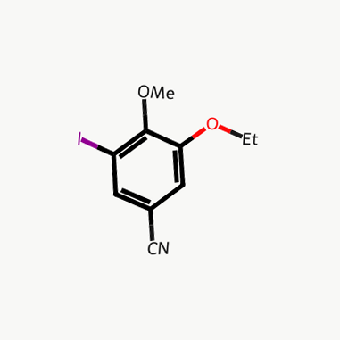 CCOc1cc(C#N)cc(I)c1OC